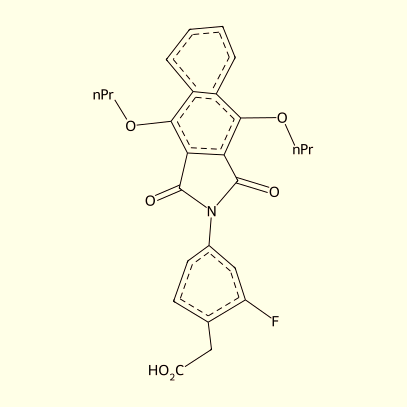 CCCOc1c2c(c(OCCC)c3ccccc13)C(=O)N(c1ccc(CC(=O)O)c(F)c1)C2=O